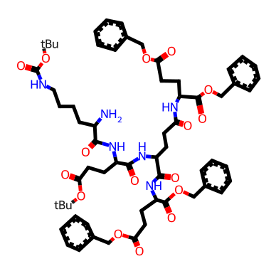 CC(C)(C)OC(=O)CCC(NC(=O)C(N)CCCCNC(=O)OC(C)(C)C)C(=O)NC(CCC(=O)NC(CCC(=O)OCc1ccccc1)C(=O)OCc1ccccc1)C(=O)NC(CCC(=O)OCc1ccccc1)C(=O)OCc1ccccc1